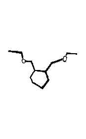 CCOCC1CCCCC1COCC